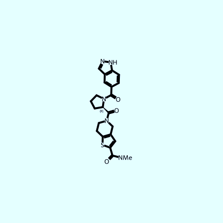 CNC(=O)c1cc2c(s1)CCN(C(=O)[C@H]1CCCN1C(=O)c1ccc3[nH]ncc3c1)C2